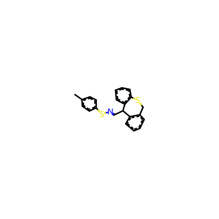 Cc1ccc(S/N=C/C2c3ccccc3CSc3ccccc32)cc1